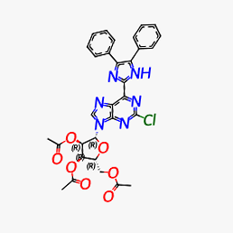 CC(=O)OC[C@H]1O[C@@H](n2cnc3c(-c4nc(-c5ccccc5)c(-c5ccccc5)[nH]4)nc(Cl)nc32)[C@H](OC(C)=O)[C@@H]1OC(C)=O